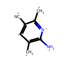 Cc1cc(C#N)c(C)nc1N